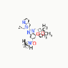 COc1cc(C(=O)N2C[C@H]3CC4C[C@@H]2[C@H]43)cc2nc(-c3cc4cccnc4n3CC3CC3)n(C[C@H]3C[C@](C)(OC)C3)c12